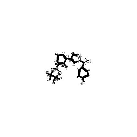 CC[C@H](c1ccc(F)cc1)n1cc(-c2cccc(B3OC(C)(C)C(C)(C)O3)c2F)cn1